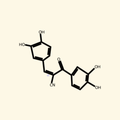 N#C/C(=C/c1ccc(O)c(O)c1)C(=O)c1ccc(O)c(O)c1